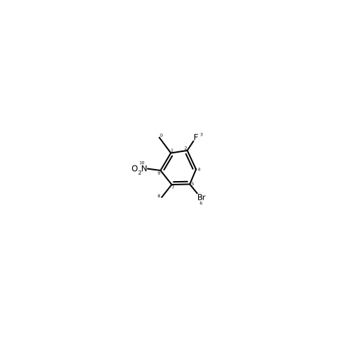 Cc1c(F)cc(Br)c(C)c1[N+](=O)[O-]